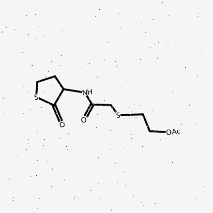 CC(=O)OCCSCC(=O)NC1CCSC1=O